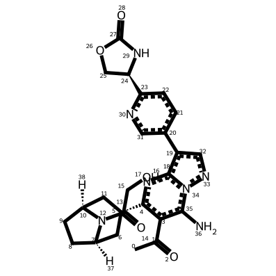 CC(=O)c1c([C@@H]2C[C@H]3CC[C@@H](C2)N3C(=O)CO)nc2c(-c3ccc([C@H]4COC(=O)N4)nc3)cnn2c1N